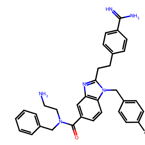 Cc1ccc(Cn2c(CCc3ccc(C(=N)N)cc3)nc3cc(C(=O)N(CCN)Cc4ccccc4)ccc32)cc1